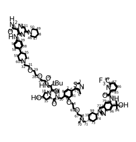 Cc1ncsc1-c1ccc(CNC(=O)[C@@H]2C[C@@H](O)CN2C(=O)[C@@H](NC(=O)COCCOCCN2CCC(c3ccc(Nc4nc(N5CCCCC5)cnc4C(N)=O)cc3)CC2)C(C)(C)C)c(OCCOCCN(C)C[C@H]2CC[C@H](n3cc4cc(NC(=O)c5cccc(C(F)(F)F)n5)c(C(C)(C)O)cc4n3)CC2)c1